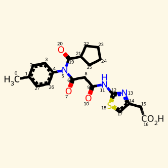 Cc1ccc(N(C(=O)CC(=O)Nc2nc(CC(=O)O)cs2)C(=O)C2CCCC2)cc1